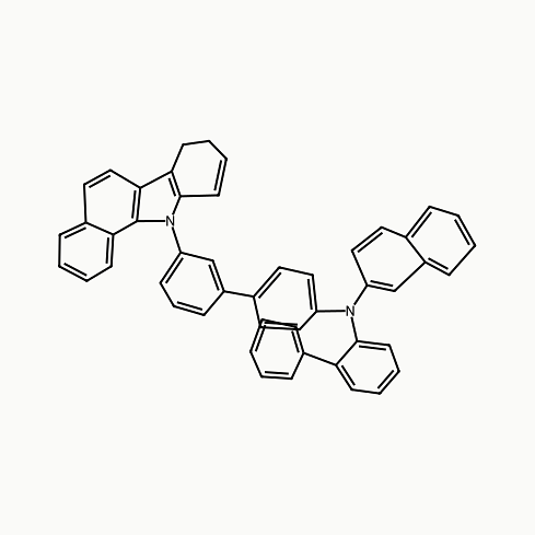 C1=Cc2c(c3ccc4ccccc4c3n2-c2cccc(-c3ccc(N(c4ccc5ccccc5c4)c4ccccc4-c4ccccc4)cc3)c2)CC1